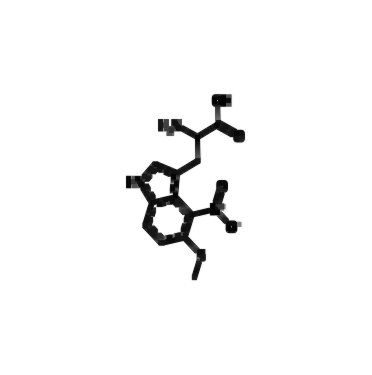 CSc1ccc2[nH]cc(CC(N)C(=O)O)c2c1[N+](=O)[O-]